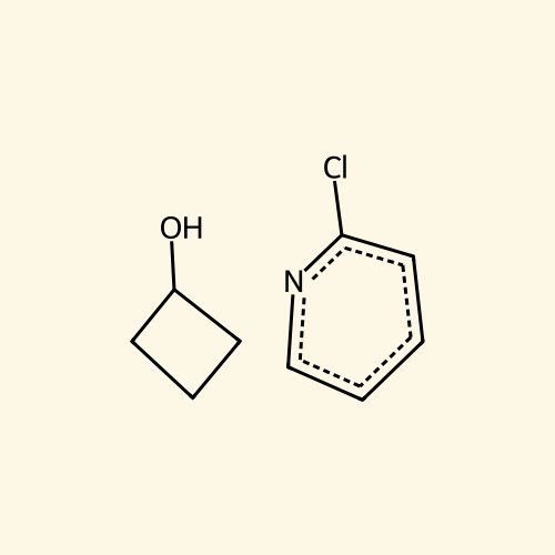 Clc1ccccn1.OC1CCC1